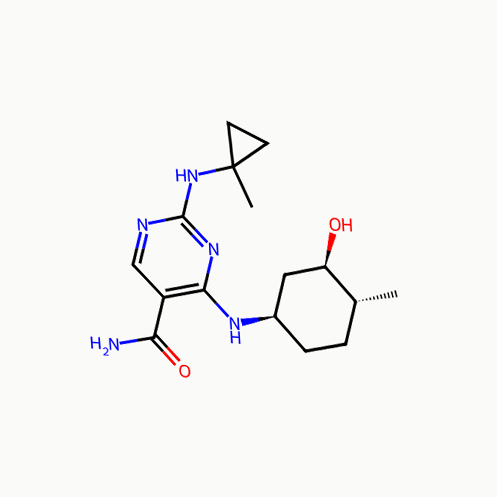 C[C@@H]1CC[C@@H](Nc2nc(NC3(C)CC3)ncc2C(N)=O)C[C@H]1O